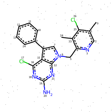 Cc1cnc(Cn2cc(-c3ccccc3)c3c(Cl)nc(N)nc32)c(C)c1Cl